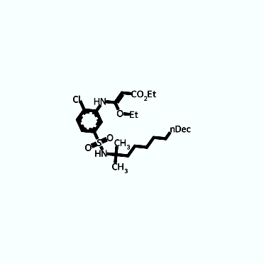 CCCCCCCCCCCCCCCC(C)(C)NS(=O)(=O)c1ccc(Cl)c(N/C(=C/C(=O)OCC)OCC)c1